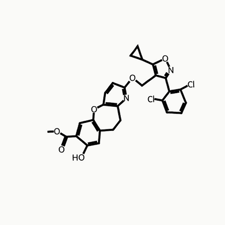 COC(=O)c1cc2c(cc1O)CCc1nc(OCc3c(-c4c(Cl)cccc4Cl)noc3C3CC3)ccc1O2